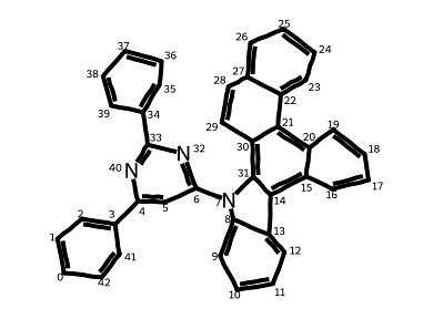 c1ccc(-c2cc(-n3c4ccccc4c4c5ccccc5c5c6ccccc6ccc5c43)nc(-c3ccccc3)n2)cc1